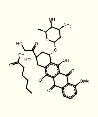 CCCCCC(=O)O.COc1cccc2c1C(=O)c1c(O)c3c(c(O)c1C2=O)C[C@@](O)(C(=O)CO)C[C@@H]3O[C@H]1C[C@H](N)[C@H](O)[C@H](C)O1